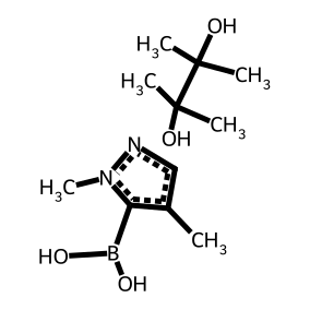 CC(C)(O)C(C)(C)O.Cc1cnn(C)c1B(O)O